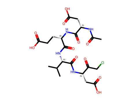 CC(=O)N[C@@H](CC(=O)O)C(=O)N[C@@H](CCC(=O)O)C(=O)N[C@H](C(=O)N[C@@H](CC(=O)O)C(=O)CCl)C(C)C